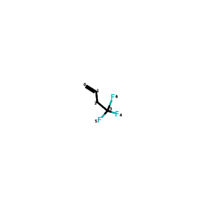 C=CCC(F)(F)F